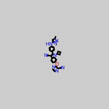 Cc1cc(Nc2ccc(-c3c(C#N)c4ccc(Oc5nccnc5C#N)cc4n3C3CCC3)cc2)n(C)n1